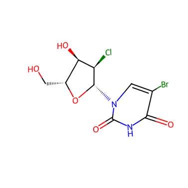 O=c1[nH]c(=O)n([C@@H]2O[C@H](CO)[C@@H](O)[C@H]2Cl)cc1Br